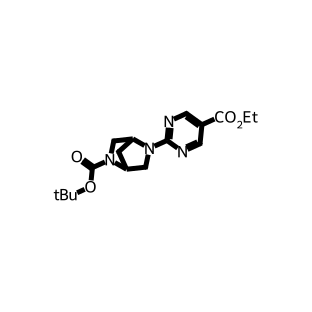 CCOC(=O)c1cnc(N2CC3CC2CN3C(=O)OC(C)(C)C)nc1